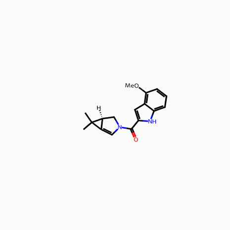 COc1cccc2[nH]c(C(=O)N3C=C4[C@H](C3)C4(C)C)cc12